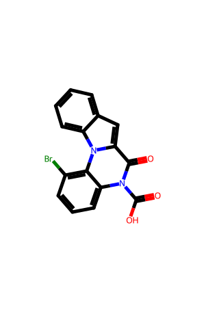 O=C(O)n1c(=O)c2cc3ccccc3n2c2c(Br)cccc21